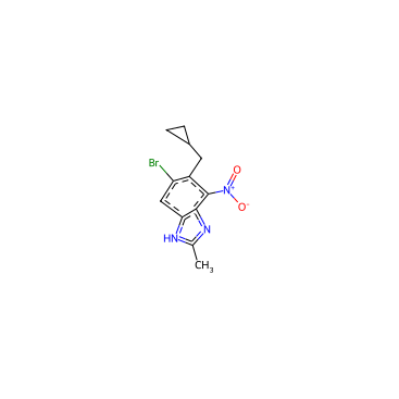 Cc1nc2c([N+](=O)[O-])c(CC3CC3)c(Br)cc2[nH]1